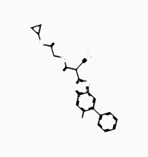 N#CC(C(=O)NCC(=O)NC1CC1)c1nc2cc(-c3ccccc3)c(F)cc2s1